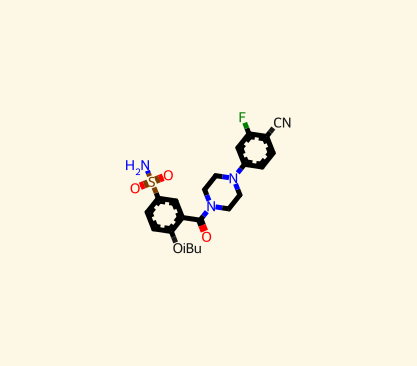 CC(C)COc1ccc(S(N)(=O)=O)cc1C(=O)N1CCN(c2ccc(C#N)c(F)c2)CC1